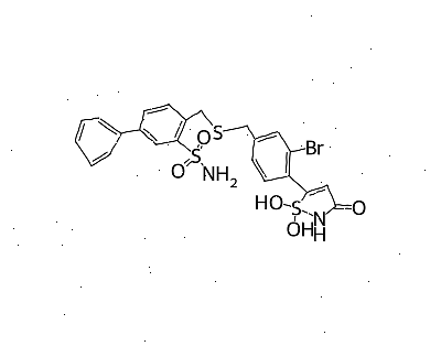 NS(=O)(=O)c1cc(-c2ccccc2)ccc1CSCc1ccc(C2=CC(=O)NS2(O)O)c(Br)c1